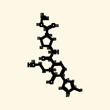 Cc1cn(-c2ccc(C(=O)NC3CCN(C(=O)OC(C)(C)C)C3)n(CCO)c2=O)cn1